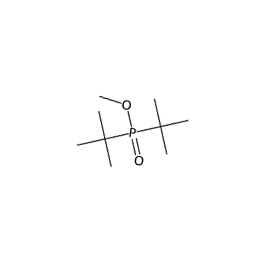 COP(=O)(C(C)(C)C)C(C)(C)C